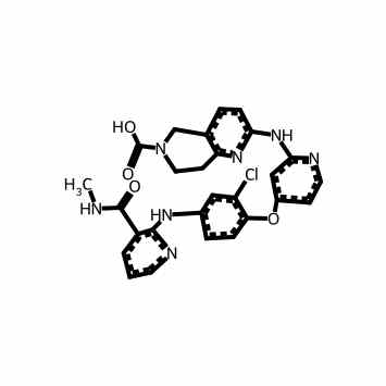 CNC(=O)c1cccnc1Nc1ccc(Oc2ccnc(Nc3ccc4c(n3)CCN(C(=O)O)C4)c2)c(Cl)c1